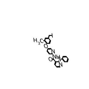 Cc1cc(CI)ccc1Oc1ccc(NC(=O)c2cccnc2Sc2ccccc2)nc1